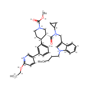 COCCCn1cc(CN(C(=O)[C@H]2CN(C(=O)OC(C)(C)C)CC[C@@H]2c2cccc(-c3ccc(OCC(=O)O)nc3)c2)C2CC2)c2ccccc21